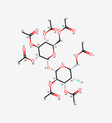 CC(=O)OC[C@H]1O[C@@H](O[C@H]2O[C@H](COC(C)=O)[C@@H](OC(C)=O)[C@H](OC(C)=O)[C@H]2OC(C)=O)[C@H](OC(C)=O)[C@@H](OC(C)=O)[C@H]1F